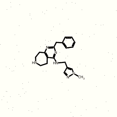 Cn1cc(CNc2nc(Cc3ccccc3)nc3c2CCNCC3)cn1